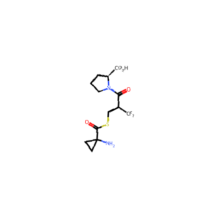 NC1(C(=O)SCC(C(=O)N2CCC[C@H]2C(=O)O)C(F)(F)F)CC1